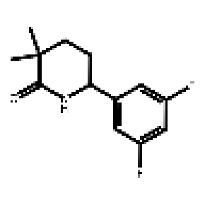 CC1(C)CCC(c2cc(F)cc(F)c2)NC1=O